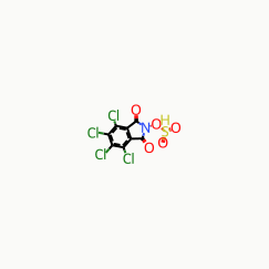 O=C1c2c(Cl)c(Cl)c(Cl)c(Cl)c2C(=O)N1O[SH](=O)=O